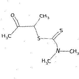 CC(=O)C(C)SC(=S)N(C)C